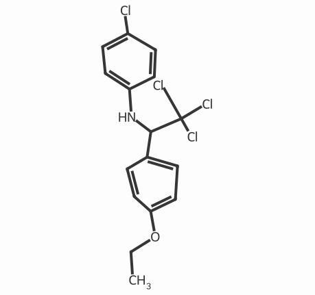 CCOc1ccc(C(Nc2ccc(Cl)cc2)C(Cl)(Cl)Cl)cc1